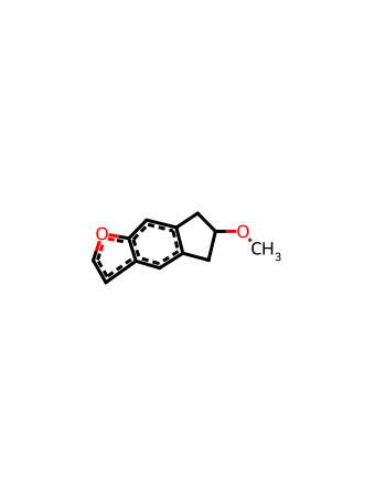 COC1Cc2cc3ccoc3cc2C1